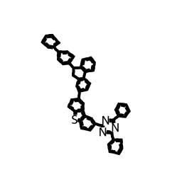 c1ccc(-c2ccc(C3Cc4cc(-c5ccc6sc7ccc(-c8nc(-c9ccccc9)nc(-c9ccccc9)n8)cc7c6c5)ccc4-c4ccccc43)cc2)cc1